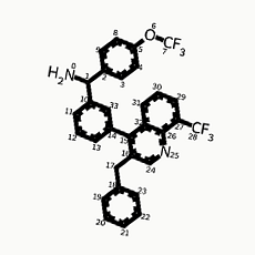 NC(c1ccc(OC(F)(F)F)cc1)c1cccc(-c2c(Cc3ccccc3)cnc3c(C(F)(F)F)cccc23)c1